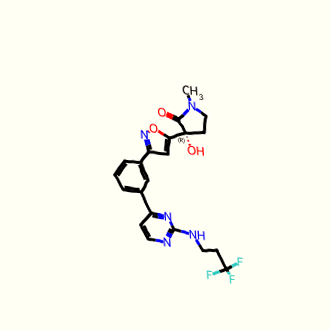 CN1CC[C@@](O)(c2cc(-c3cccc(-c4ccnc(NCCC(F)(F)F)n4)c3)no2)C1=O